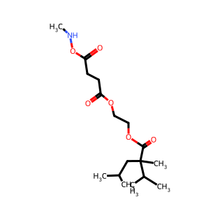 CNOC(=O)CCC(=O)OCCOC(=O)C(C)(CC(C)C)C(C)C